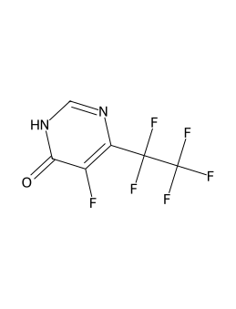 O=c1[nH]cnc(C(F)(F)C(F)(F)F)c1F